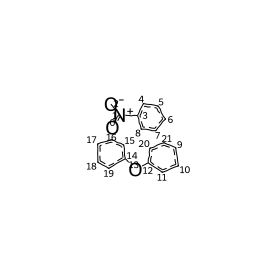 O=[N+]([O-])c1ccccc1.c1ccc(Oc2ccccc2)cc1